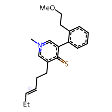 CC/C=C/CCc1cn(C)cc(-c2ccccc2CCOC)c1=S